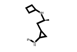 CC(C)NC1CC1C[C@H](C)NC1CCC1